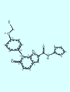 O=C(Nc1nccs1)c1cc2ccc(=O)n(-c3ccc(OCF)cc3)c2[nH]1